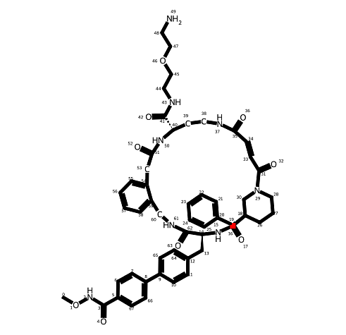 CONC(=O)c1ccc(-c2ccc(C[C@@H]3NC(=O)[C@]4(Cc5ccccc5)CCCN(C4)C(=O)/C=C/C(=O)NCC[C@@H](C(=O)NCCOCCN)NC(=O)Cc4ccccc4CNC3=O)cc2)cc1